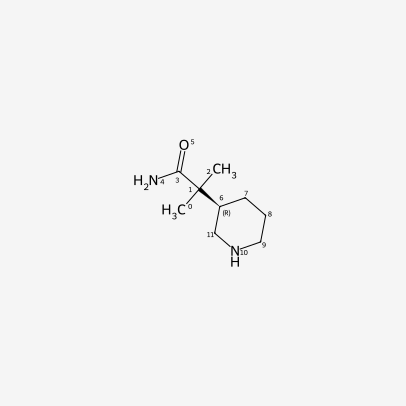 CC(C)(C(N)=O)[C@H]1CCCNC1